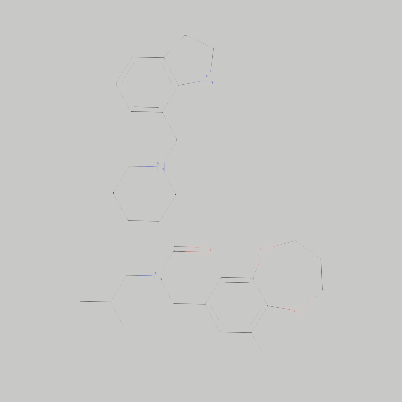 CC(C)CN(Cc1cc(Cl)c2c(c1)OCCCO2)C(=O)[C@@H]1CCCN(Cc2cccc3c2NCC3)C1